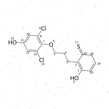 OC1=C(CCCOc2c(Cl)cc(O)cc2Cl)C(=S)CC=C1